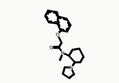 CN(C(=O)COc1cccc2ccccc12)C1CCCCC1N1CCCC1